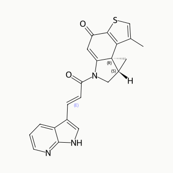 Cc1csc2c1[C@@]13C[C@@H]1CN(C(=O)/C=C/c1c[nH]c4ncccc14)C3=CC2=O